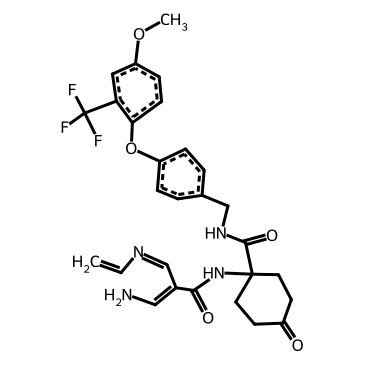 C=C/N=C\C(=C/N)C(=O)NC1(C(=O)NCc2ccc(Oc3ccc(OC)cc3C(F)(F)F)cc2)CCC(=O)CC1